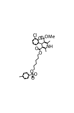 COC(=O)C1=C(C)NC(C)=C(C(=O)OCCCCCCOS(=O)(=O)c2ccc(C)cc2)C1c1cccc(Cl)c1Cl